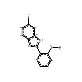 CC(C)Sc1cccnc1-c1nc2cc(I)ccc2[nH]1